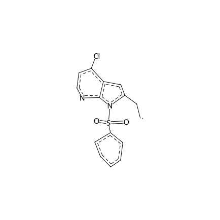 [CH2]Cc1cc2c(Cl)ccnc2n1S(=O)(=O)c1ccccc1